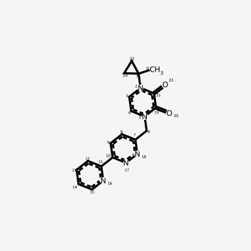 CC1(n2ccn(Cc3ccc(-c4ccccn4)nn3)c(=O)c2=O)CC1